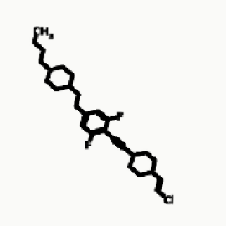 CCCCC1CCC(CCc2cc(F)c(C#CC3CCC(/C=C/Cl)CC3)c(F)c2)CC1